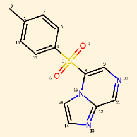 Cc1ccc(S(=O)(=O)c2cncc3nccn23)cc1